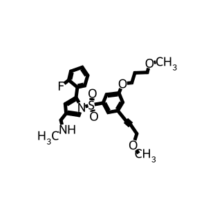 CNCc1cc(-c2ccccc2F)n(S(=O)(=O)c2cc(C#CCOC)cc(OCCCOC)c2)c1